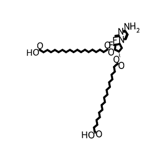 C=C1N=C(N)C=CN1[C@@H]1C[C@H](COC(=O)CCCCCCCCCCCCCCCCCC(=O)O)C(OC(=O)CCCCCCCCCCCCCCCCCC(=O)O)C1(F)F